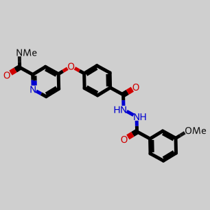 CNC(=O)c1cc(Oc2ccc(C(=O)NNC(=O)c3cccc(OC)c3)cc2)ccn1